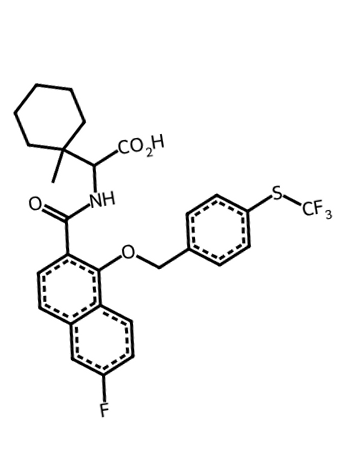 CC1(C(NC(=O)c2ccc3cc(F)ccc3c2OCc2ccc(SC(F)(F)F)cc2)C(=O)O)CCCCC1